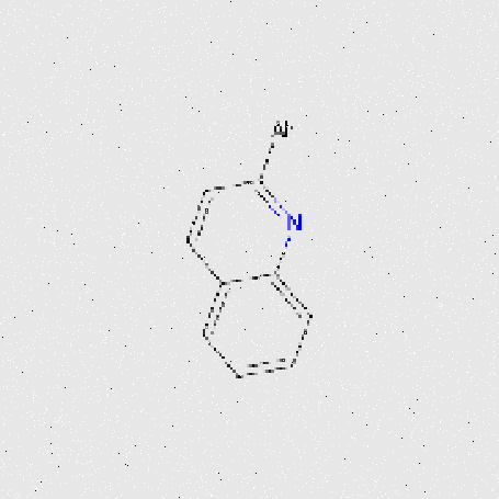 [Al][c]1ccc2ccccc2n1